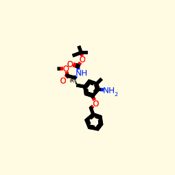 COC(=O)[C@@H](Cc1cc(C)c(N)c(OCc2ccccc2)c1)NC(=O)OC(C)(C)C